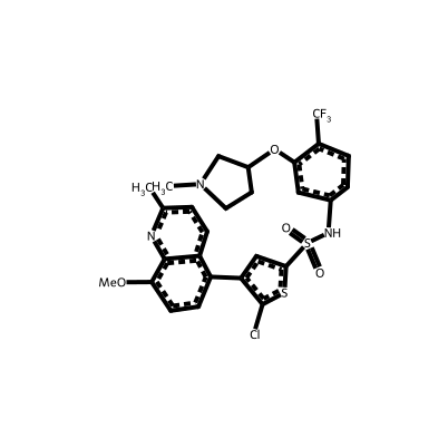 COc1ccc(-c2cc(S(=O)(=O)Nc3ccc(C(F)(F)F)c(OC4CCN(C)C4)c3)sc2Cl)c2ccc(C)nc12